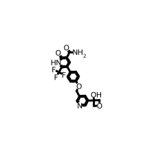 NC(=O)c1cc(-c2ccc(OCc3cncc(C4(O)COC4)c3)cc2)c(C(F)(F)F)[nH]c1=O